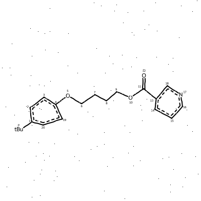 CC(C)(C)c1ccc(OCCCCOC(=O)c2cccnc2)cc1